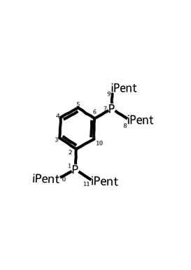 CCCC(C)P(c1cccc(P(C(C)CCC)C(C)CCC)c1)C(C)CCC